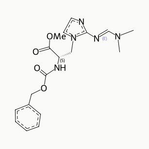 COC(=O)[C@H](Cn1ccnc1/N=C/N(C)C)NC(=O)OCc1ccccc1